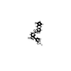 Cc1cc(-c2n[nH]c3c2CN(C(=O)N[C@@H]2CCCN(Cc4c(F)cccc4F)C2)CC3)ccn1